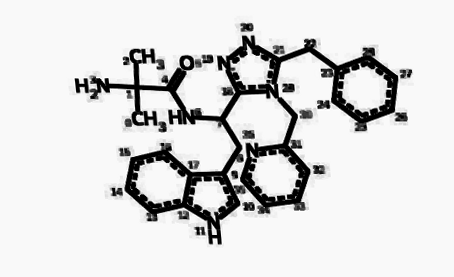 CC(C)(N)C(=O)NC(Cc1c[nH]c2ccccc12)c1nnc(Cc2ccccc2)n1Cc1ccccn1